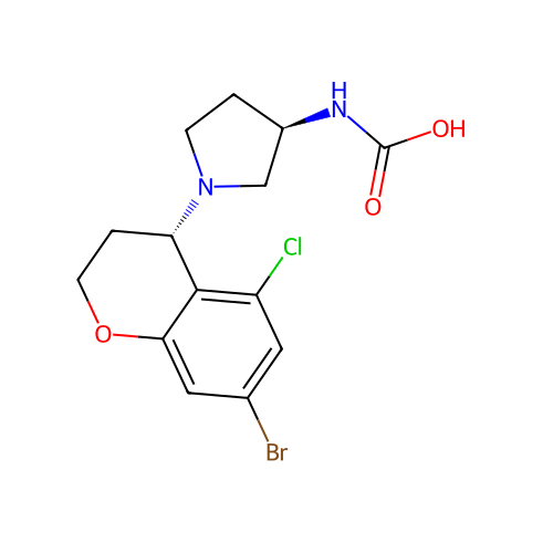 O=C(O)N[C@@H]1CCN([C@H]2CCOc3cc(Br)cc(Cl)c32)C1